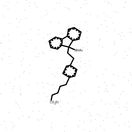 CCOC(=O)CCCCc1ccc(CCC2(NC(C)=O)c3ccccc3-c3ccccc32)cc1